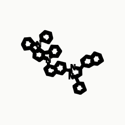 c1ccc(-c2cc(-c3ccc4ccccc4c3)nc(-c3ccc4c(-n5c6ccccc6c6c5ccc5c7ccccc7n(-c7ccccc7)c56)cccc4c3)n2)cc1